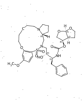 COc1ccc2c(c1)OCCCCCN1CCC[C@@H]1CN(C[C@@H](O)[C@H](Cc1ccccc1)NC(=O)O[C@H]1CO[C@H]3OCC[C@H]31)S2(=O)=O